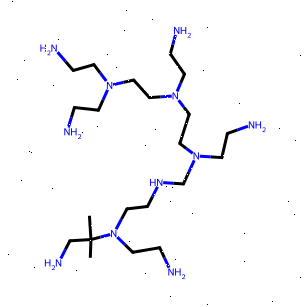 CC(C)(CN)N(CCN)CCNCN(CCN)CCN(CCN)CCN(CCN)CCN